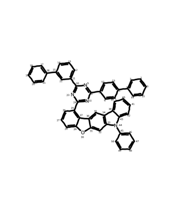 c1ccc(-c2ccc(-c3nc(-c4cccc(-c5ccccc5)c4)nc(-c4cccc5oc6cc7c(cc6c45)c4ccccc4n7-c4ccccc4)n3)cc2)cc1